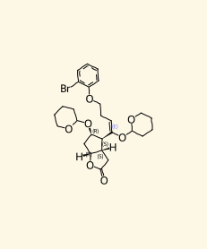 O=C1C[C@H]2[C@H](/C(=C\CCOc3ccccc3Br)OC3CCCCO3)[C@H](OC3CCCCO3)C[C@H]2O1